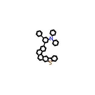 c1ccc(-c2cc(-c3ccc4c(ccc5ccc6cc7sc8ccccc8c7cc6c54)c3)cc(N(c3ccccc3)c3ccccc3)c2)cc1